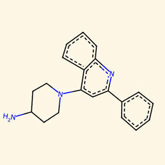 NC1CCN(c2cc(-c3ccccc3)nc3ccccc23)CC1